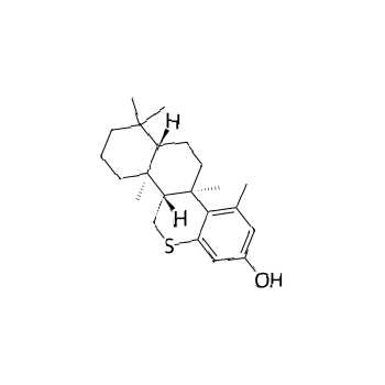 Cc1cc(O)cc2c1[C@]1(C)CC[C@H]3C(C)(C)CCC[C@]3(C)[C@H]1CS2